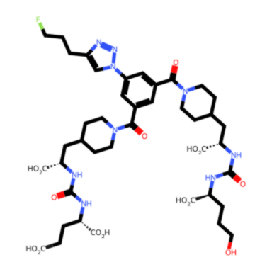 O=C(O)CC[C@H](NC(=O)N[C@@H](CC1CCN(C(=O)c2cc(C(=O)N3CCC(C[C@H](NC(=O)N[C@@H](CCCO)C(=O)O)C(=O)O)CC3)cc(-n3cc(CCCF)nn3)c2)CC1)C(=O)O)C(=O)O